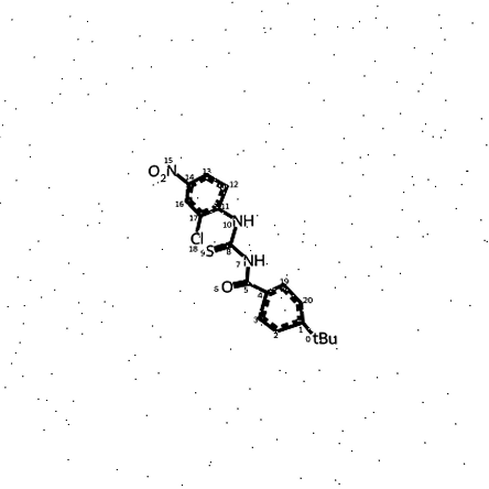 CC(C)(C)c1ccc(C(=O)NC(=S)Nc2ccc([N+](=O)[O-])cc2Cl)cc1